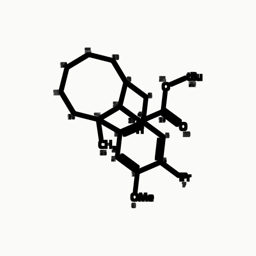 COc1cc2c(cc1C(C)C)CC1CCCCCC2(C)C1NC(=O)OC(C)(C)C